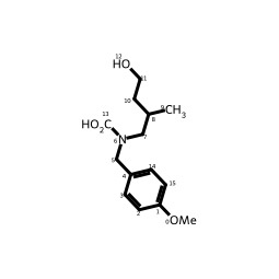 COc1ccc(CN(CC(C)CCO)C(=O)O)cc1